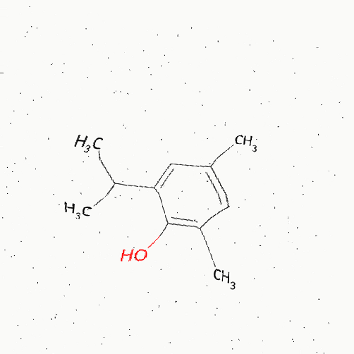 Cc1cc(C)c(O)c(C(C)C)c1